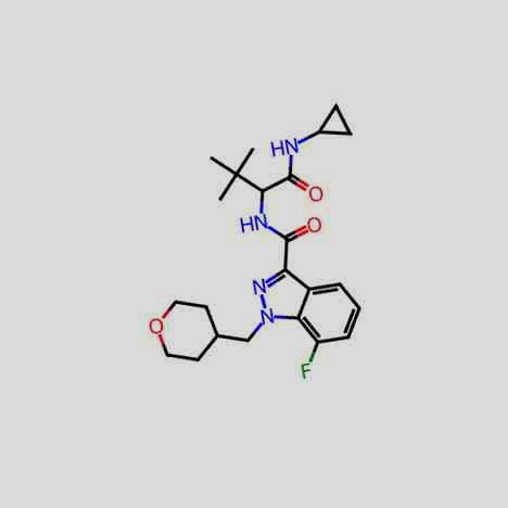 CC(C)(C)C(NC(=O)c1nn(CC2CCOCC2)c2c(F)cccc12)C(=O)NC1CC1